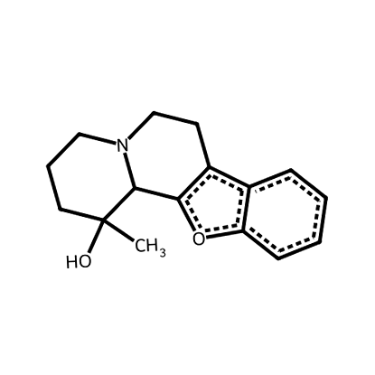 CC1(O)CCCN2CCc3c(oc4ccccc34)C21